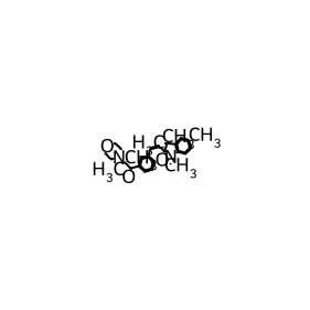 Cc1ccc2c(c1)C(C)(C)C1(C=Cc3cc(C(=O)C(C)(C)N4CCOCC4)ccc3O1)N2C